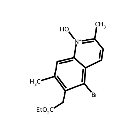 CCOC(=O)Cc1c(C)cc2c(ccc(C)[n+]2O)c1Br